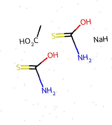 CC(=O)O.NC(O)=S.NC(O)=S.[NaH]